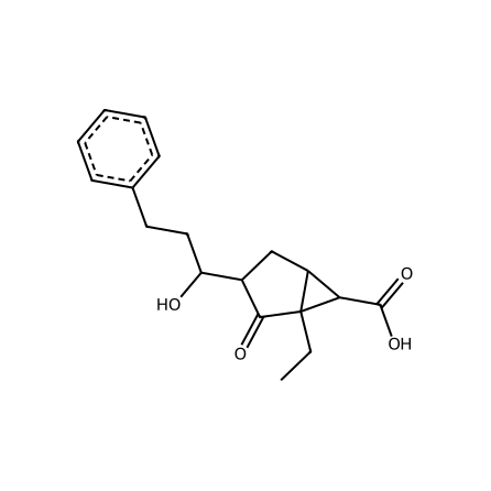 CCC12C(=O)C(C(O)CCc3ccccc3)CC1C2C(=O)O